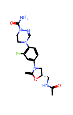 C=C1O[C@@H](CNC(C)=O)CN1c1ccc(N2C=NN(C(N)=O)CC2)c(F)c1